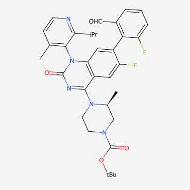 Cc1ccnc(C(C)C)c1-n1c(=O)nc(N2CCN(C(=O)OC(C)(C)C)C[C@@H]2C)c2cc(F)c(-c3c(F)cccc3C=O)cc21